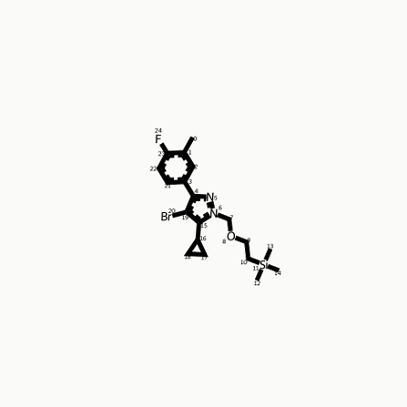 Cc1cc(-c2nn(COCC[Si](C)(C)C)c(C3CC3)c2Br)ccc1F